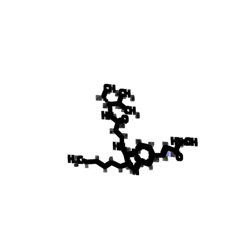 CCCCCCc1nc2cc(/C=C/C(=O)NO)ccn2c1NCCC(=O)N[C@H](CC)C(C)C